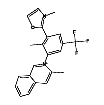 Cc1c(-c2occ[n+]2C)cc(C(F)(F)F)cc1-[n+]1cc2ccccc2cc1C